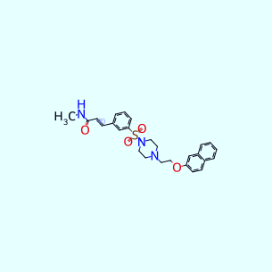 CNC(=O)/C=C/c1cccc(S(=O)(=O)N2CCN(CCOc3ccc4ccccc4c3)CC2)c1